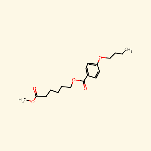 CCCCOc1ccc(C(=O)OCCCCCC(=O)OC)cc1